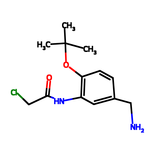 CC(C)(C)Oc1ccc(CN)cc1NC(=O)CCl